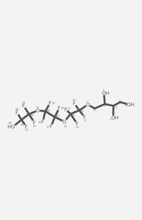 OCC(O)C(O)COC(F)(F)C(F)(F)OC(F)(F)C(F)(F)OC(F)(F)C(O)(F)F